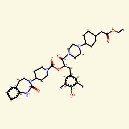 CCOC(=O)CC1CCC(N2CCN(C(=O)[C@@H](Cc3cc(C)c(O)c(C)c3)OC(=O)N3CCC(N4CCc5ccccc5NC4=O)CC3)CC2)CC1